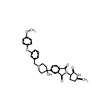 C=C1CCC(N2C(=O)c3ccc(C4(O)CCN(Cc5cccc(Oc6ccc(OC)cc6)c5)CC4)cc3C2=O)C(=O)N1